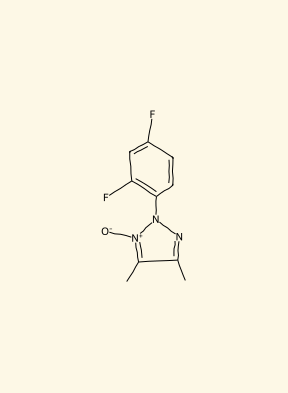 Cc1nn(-c2ccc(F)cc2F)[n+]([O-])c1C